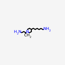 C=C(CCN)N1CCC(CCCCCCN)CC1